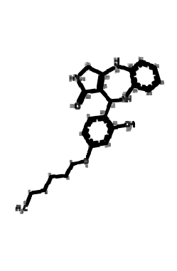 CCCCCCOc1ccc(C2Nc3ccccc3NC3=C2C(=O)NC3)c(O)c1